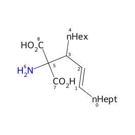 CCCCCCCC=CC(CCCCCC)C(N)(C(=O)O)C(=O)O